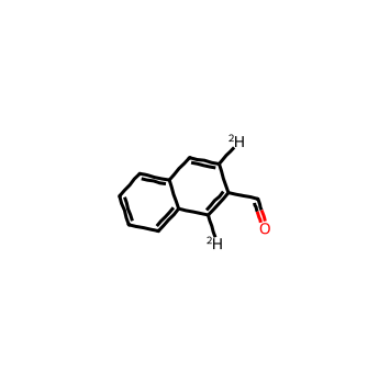 [2H]c1cc2ccccc2c([2H])c1C=O